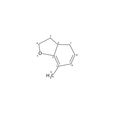 CC1=C2OCCC2CC=C1